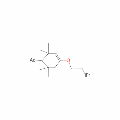 CC(=O)C1C(C)(C)C=C(OCCC(C)C)CC1(C)C